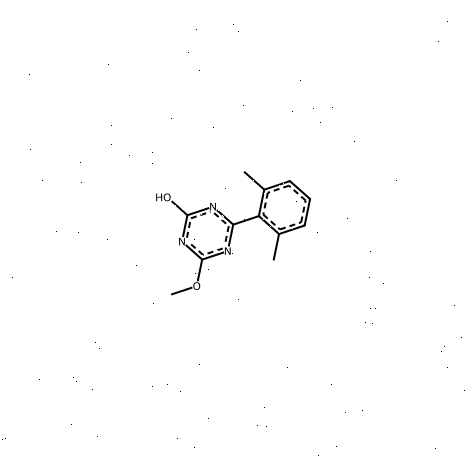 COc1nc(O)nc(-c2c(C)cccc2C)n1